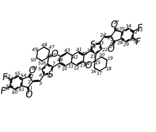 O=C1C(=Cc2cc3c(s2)C2=CC4C=C5OC6(CCCCC6)c6cc(C=C7C(=O)c8cc(F)c(F)cc8C7=O)sc6C5=CC4C=C2OC32CCCCC2)C(=O)c2cc(F)c(F)cc21